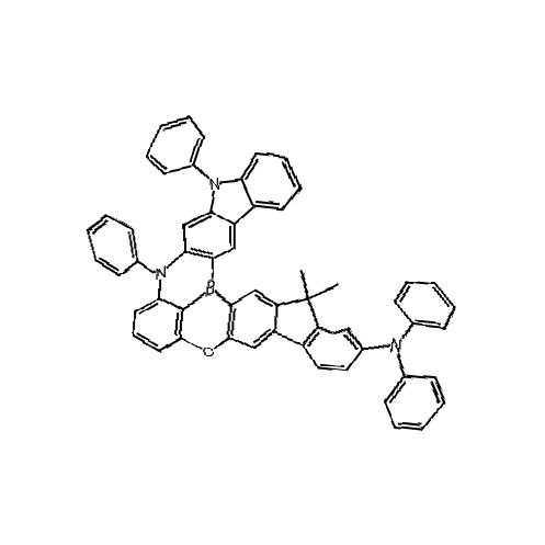 CC1(C)c2cc(N(c3ccccc3)c3ccccc3)ccc2-c2cc3c(cc21)B1c2cc4c5ccccc5n(-c5ccccc5)c4cc2N(c2ccccc2)c2cccc(c21)O3